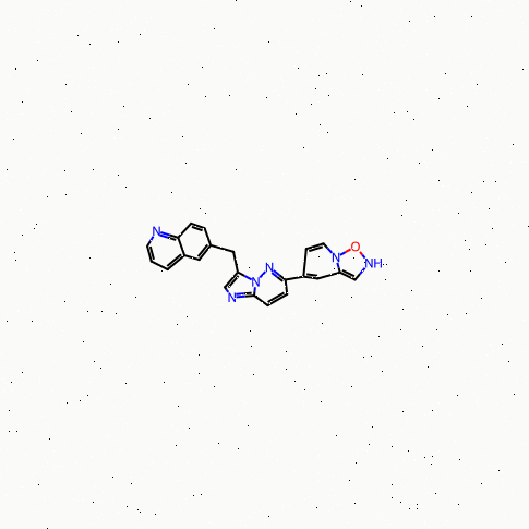 C1=CN2ONC=C2C=C1c1ccc2ncc(Cc3ccc4ncccc4c3)n2n1